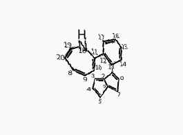 C1=CC2=CC=CC2=C1.C1=CC=C(c2ccccc2)NC=C1